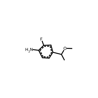 COC(C)c1ccc(N)c(F)c1